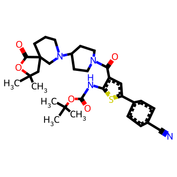 CC(C)(C)OC(=O)Nc1sc(-c2ccc(C#N)cc2)cc1C(=O)N1CCC(N2CCCC3(C2)CC(C)(C)OC3=O)CC1